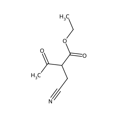 CCOC(=O)C(CC#N)C(C)=O